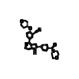 N#Cc1cc(-c2nccc3[nH]c(-c4ccc(C(=O)N5CCOCC5)cc4)cc23)ccc1OC1CCOCC1